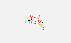 C[S+](C)[O-].C[S+](C)[O-].O=C(O)C(F)(F)F